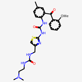 COc1ccccc1C(=O)c1cc(C)ccc1NC(=O)Nc1nc(CNC(=O)NCCN(C)C)cs1